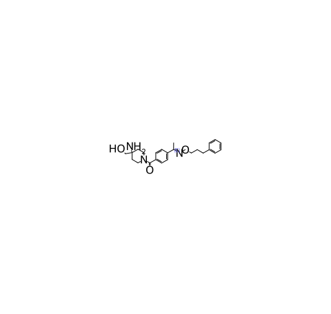 C/C(=N\OCCCc1ccccc1)c1ccc(C(=O)N2CCC(N)(CO)CC2)cc1